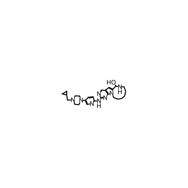 OC1NCCCCCCn2c1cc1cnc(Nc3ccc(N4CCN(CC5CC5)CC4)cn3)nc12